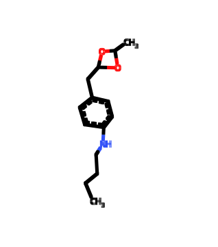 CCCCNc1ccc(CC2OC(C)O2)cc1